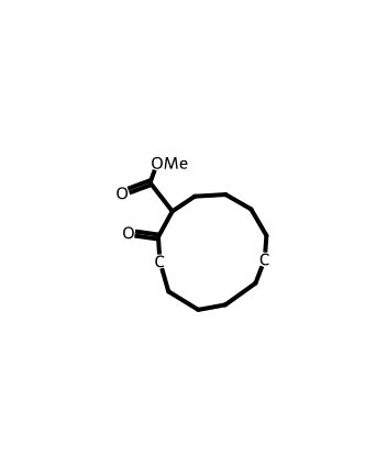 COC(=O)C1CCCCCCCCCCC1=O